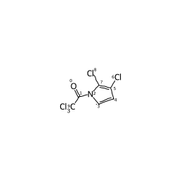 O=C(n1[c]cc(Cl)c1Cl)C(Cl)(Cl)Cl